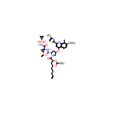 C=CCCCCCC(OC(=O)C(C)(C)C)C(=O)N1C[C@H](Oc2cc(-c3nc(C(C)C)cs3)nc3c(C)c(OC)ccc23)C[C@H]1C(=O)N[C@]1(C(=O)NS(=O)(=O)C2CC2)C[C@H]1C=C